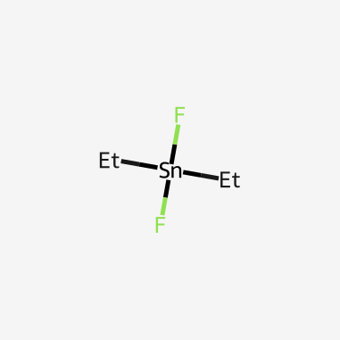 C[CH2][Sn]([F])([F])[CH2]C